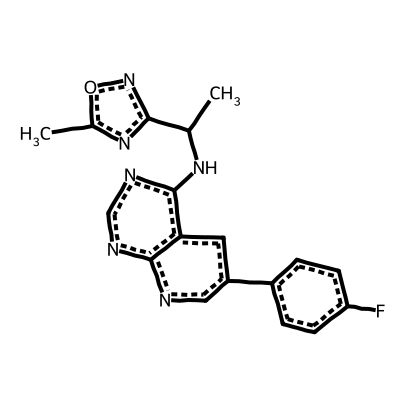 Cc1nc(C(C)Nc2ncnc3ncc(-c4ccc(F)cc4)cc23)no1